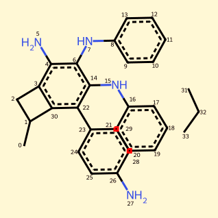 CC1Cc2c(N)c(Nc3ccccc3)c(Nc3ccccc3)c(-c3ccc(N)cc3)c21.CCC